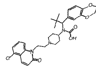 CC(C)(C)C(c1ccc2c(c1)OCCO2)N(C(=O)O)C1CCN(CCn2c(=O)ccc3c(Cl)cccc32)CC1